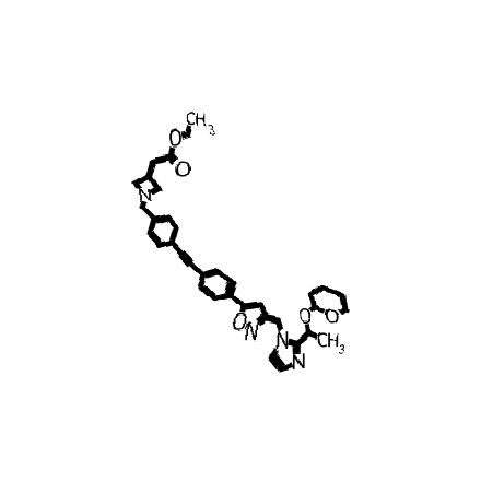 CCOC(=O)CC1CN(Cc2ccc(C#Cc3ccc(-c4cc(Cn5ccnc5C(C)OC5CCCCO5)no4)cc3)cc2)C1